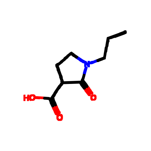 CCCN1CCC(C(=O)O)C1=O